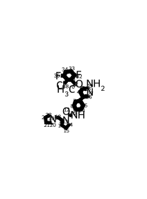 C[C@@H](Oc1cc(-c2ccc(NC(=O)N3CCCC3CN3CCCC3)cc2)cnc1N)c1c(F)ccc(F)c1Cl